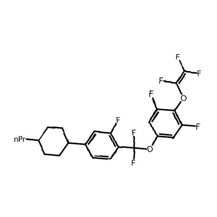 CCCC1CCC(c2ccc(C(F)(F)Oc3cc(F)c(OC(F)=C(F)F)c(F)c3)c(F)c2)CC1